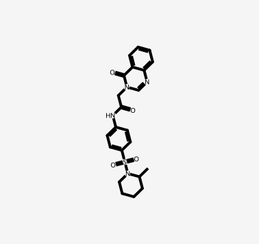 CC1CCCCN1S(=O)(=O)c1ccc(NC(=O)Cn2cnc3ccccc3c2=O)cc1